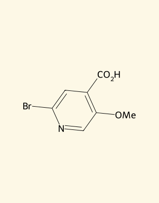 COc1cnc(Br)cc1C(=O)O